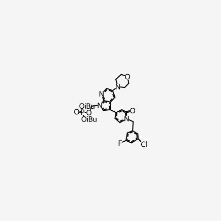 CC(C)COP(=O)(OCC(C)C)OCn1cc(-c2ccn(Cc3cc(F)cc(Cl)c3)c(=O)c2)c2cc(N3CCOCC3)cnc21